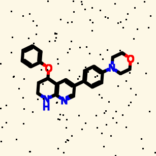 c1ccc(OC2CCNc3ncc(-c4ccc(N5CCOCC5)cc4)cc32)cc1